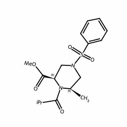 COC(=O)[C@H]1CN(S(=O)(=O)c2ccccc2)C[C@@H](C)N1C(=O)C(C)C